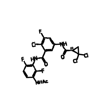 CC(=O)Nc1ccc(F)c(NC(=O)c2cc(NC(=O)[C@H]3CC3(Cl)Cl)cc(F)c2Cl)c1F